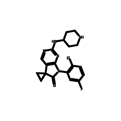 O=C1N(c2cc(F)ccc2Cl)c2nc(NC3CCNCC3)ncc2C12CC2